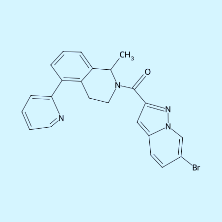 CC1c2cccc(-c3ccccn3)c2CCN1C(=O)c1cc2ccc(Br)cn2n1